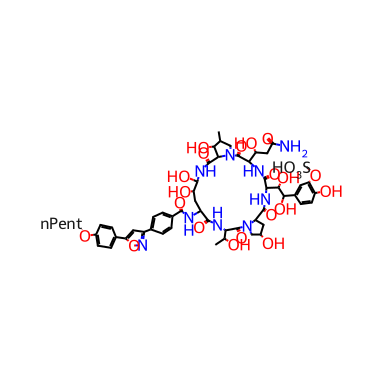 CCCCCOc1ccc(-c2cc(-c3ccc(C(=O)NC4CC(O)C(O)NC(=O)C5C(O)C(C)CN5C(=O)C(C(O)CC(N)=O)NC(=O)C(C(O)C(O)c5ccc(O)c(OS(=O)(=O)O)c5)NC(=O)C5CC(O)CN5C(=O)C(C(C)O)NC4=O)cc3)no2)cc1